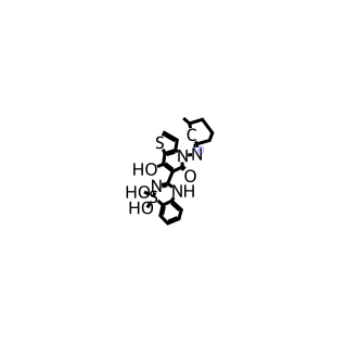 CC1CCC/C(=N/n2c(=O)c(C3=NS(O)(O)c4ccccc4N3)c(O)c3sccc32)C1